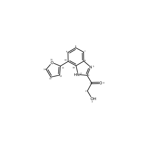 O=C(CO)c1nc2cccc(-c3ccco3)c2[nH]1